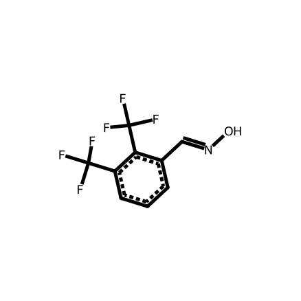 ON=Cc1cccc(C(F)(F)F)c1C(F)(F)F